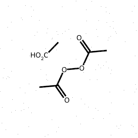 CC(=O)O.CC(=O)OOC(C)=O